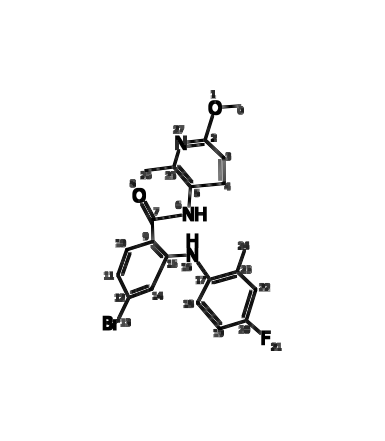 COc1ccc(NC(=O)c2ccc(Br)cc2Nc2ccc(F)cc2C)c(C)n1